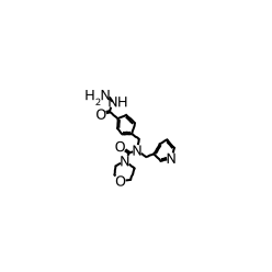 NNC(=O)c1ccc(CN(Cc2cccnc2)C(=O)N2CCOCC2)cc1